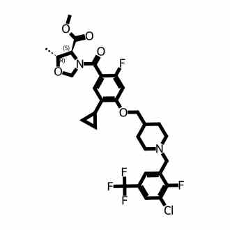 COC(=O)[C@@H]1[C@@H](C)OCN1C(=O)c1cc(C2CC2)c(OCC2CCN(Cc3cc(C(F)(F)F)cc(Cl)c3F)CC2)cc1F